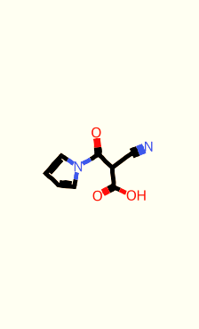 N#CC(C(=O)O)C(=O)n1cccc1